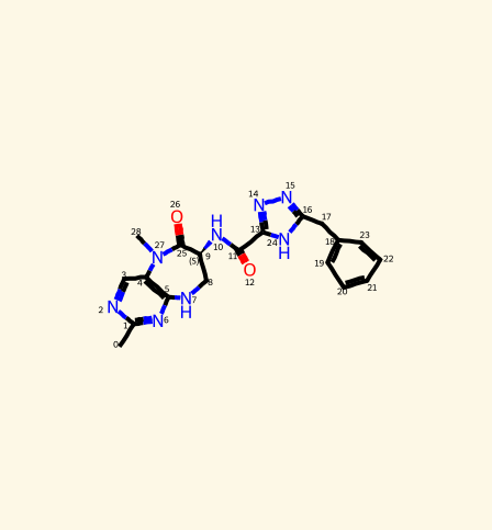 Cc1ncc2c(n1)NC[C@H](NC(=O)c1nnc(Cc3ccccc3)[nH]1)C(=O)N2C